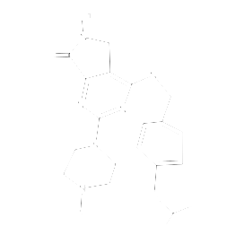 CC(=O)N1CCN(c2nc(N[C@H](C)c3ccc(OC(F)F)cc3)c3c(n2)C(=O)N(C(C)C)C3)CC1